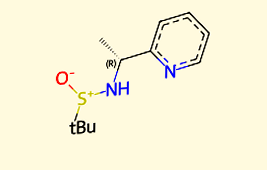 C[C@@H](N[S+]([O-])C(C)(C)C)c1ccccn1